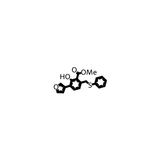 COC(=O)c1c(CSc2ccccc2)ccc(-c2ccoc2)c1O